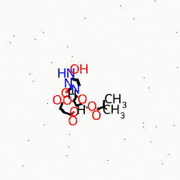 CC[C@@H](C)C(=O)OC[C@H]1O[C@@H](n2ccc(NO)nc2=O)[C@@H]2OC(=O)/C=C\C(=O)O[C@@H]21